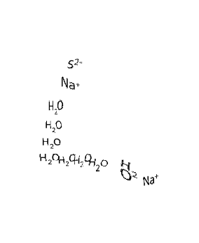 O.O.O.O.O.O.O.O.[Na+].[Na+].[S-2]